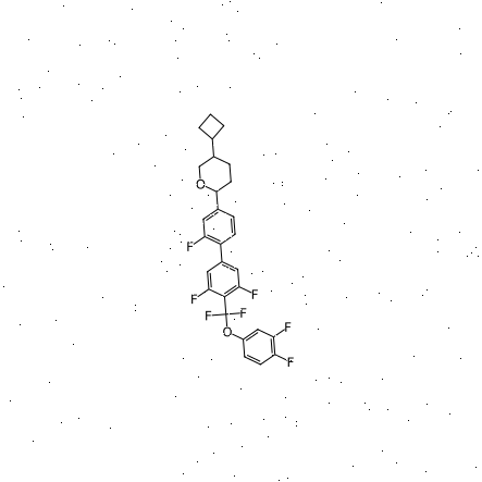 Fc1ccc(OC(F)(F)c2c(F)cc(-c3ccc(C4CCC(C5CCC5)CO4)cc3F)cc2F)cc1F